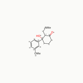 CNCC1C(=O)CCCC1(O)c1cccc(OC)c1